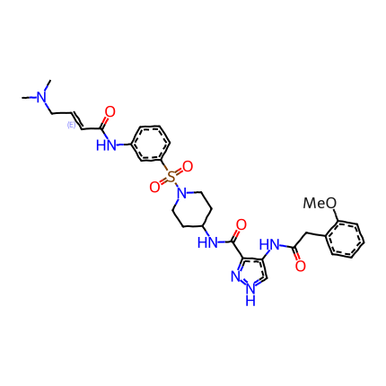 COc1ccccc1CC(=O)Nc1c[nH]nc1C(=O)NC1CCN(S(=O)(=O)c2cccc(NC(=O)/C=C/CN(C)C)c2)CC1